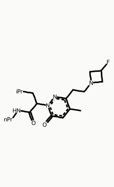 CCCNC(=O)C(CC(C)C)n1nc(CCN2CC(F)C2)c(C)cc1=O